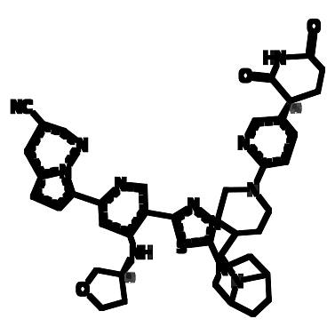 N#Cc1cnn2c(-c3cc(N[C@H]4CCOC4)c(-c4nnc(N5CC6CCC(C5)N6CC5CCN(c6ccc([C@@H]7CCC(=O)NC7=O)cn6)CC5)s4)cn3)ccc2c1